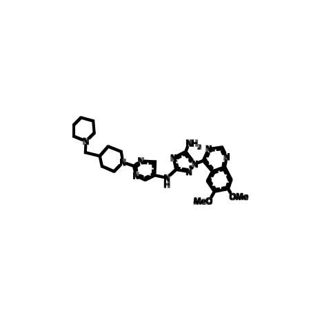 COc1cc2ncnc(-n3nc(Nc4cnc(N5CCC(CN6CCCCC6)CC5)nc4)nc3N)c2cc1OC